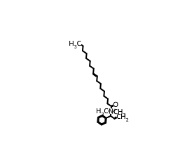 C=CC(c1ccccc1)[N+](C)(C)C(=O)CCCCCCCC=CCCCCCCCC